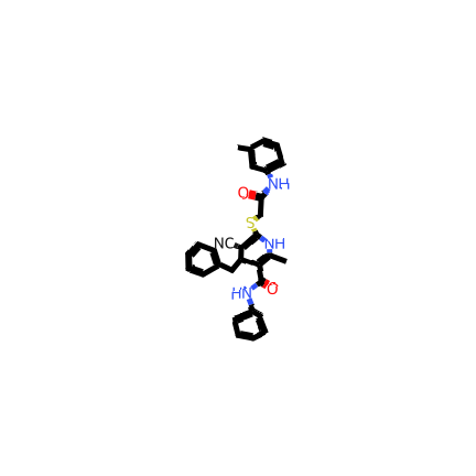 CC1=C(C(=O)Nc2ccccc2)C(Cc2ccccc2)C(C#N)=C(SCC(=O)Nc2cccc(C)c2)N1